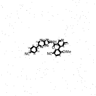 COc1ccc(C#N)cc1-c1cc(C)ncc1C(=O)Nc1nc2ncc(-c3ccc(C#N)cc3)nc2s1